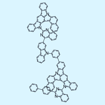 c1ccc(-c2ccc(-c3nc(-n4c5ccccc5c5cc6c7ccc(-c8cccc(-n9c%10ccccc%10c%10ccc(-c%11nc(-n%12c%13ccccc%13c%13cc%14c%15ccccc%15n%15c%16ccc%17ccccc%17c%16c(c%13%12)c%14%15)nc%12ccccc%11%12)cc%109)c8)cc7n7c8ccc9ccccc9c8c(c54)c67)c4ccccc4n3)cc2)cc1